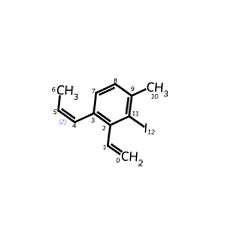 C=Cc1c(/C=C\C)ccc(C)c1I